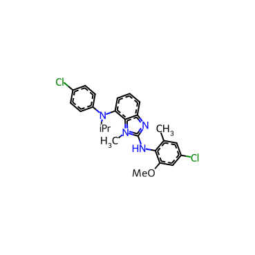 COc1cc(Cl)cc(C)c1Nc1nc2cccc(N(c3ccc(Cl)cc3)C(C)C)c2n1C